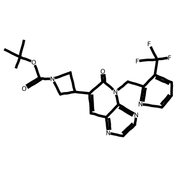 CC(C)(C)OC(=O)N1CC(c2cc3nccnc3n(Cc3ncccc3C(F)(F)F)c2=O)C1